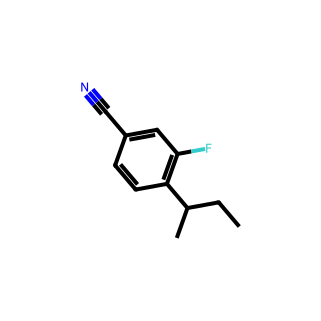 CCC(C)c1ccc(C#N)cc1F